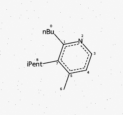 CCCCc1nccc(C)c1C(C)CCC